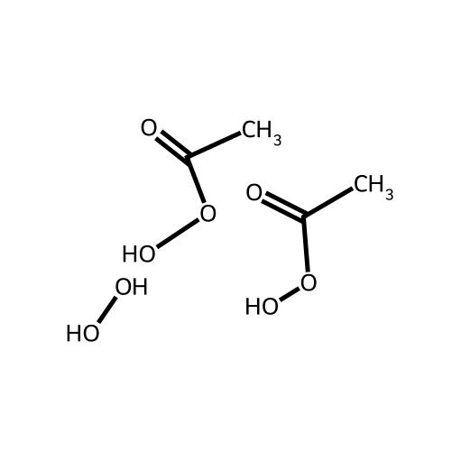 CC(=O)OO.CC(=O)OO.OO